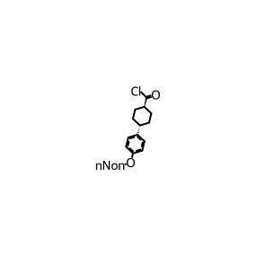 CCCCCCCCCOc1ccc([C@H]2CC[C@H](C(=O)Cl)CC2)cc1